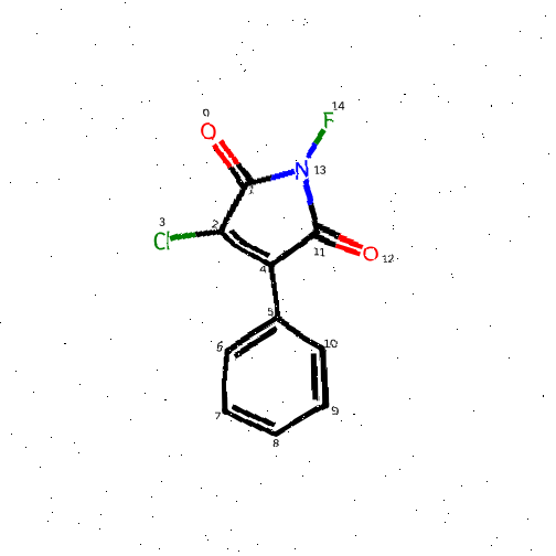 O=C1C(Cl)=C(c2ccccc2)C(=O)N1F